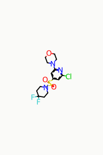 O=S(=O)(c1cc(Cl)nc(N2CCOCC2)c1)N1CCC(F)(F)CC1